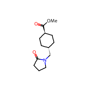 COC(=O)[C@H]1CC[C@H](CN2CCCC2=O)CC1